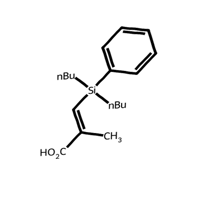 CCCC[Si](C=C(C)C(=O)O)(CCCC)c1ccccc1